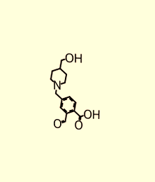 O=Cc1cc(CN2CCC(CO)CC2)ccc1C(=O)O